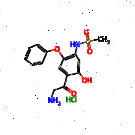 CS(=O)(=O)Nc1cc(O)c(C(=O)CN)cc1Oc1ccccc1.Cl